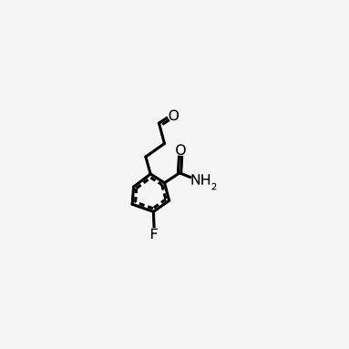 NC(=O)c1cc(F)ccc1CCC=O